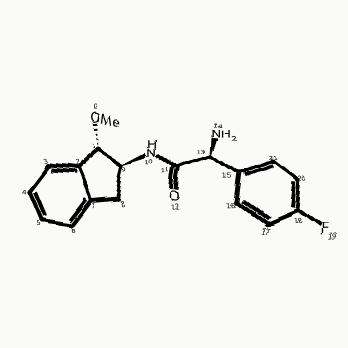 CO[C@H]1c2ccccc2C[C@@H]1NC(=O)[C@@H](N)c1ccc(F)cc1